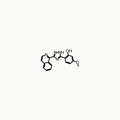 COc1ccc(-c2nc(-c3nccc4ccccc34)n[nH]2)c(O)c1